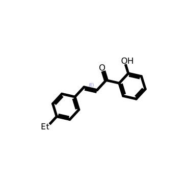 CCc1ccc(/C=C/C(=O)c2ccccc2O)cc1